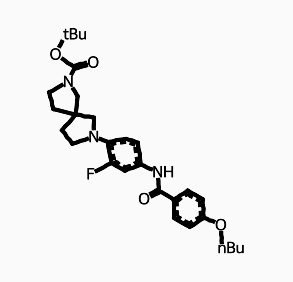 CCCCOc1ccc(C(=O)Nc2ccc(N3CCC4(CCN(C(=O)OC(C)(C)C)C4)C3)c(F)c2)cc1